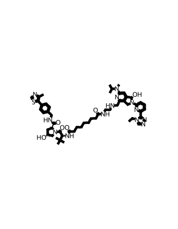 CCn1cnnc1-c1cccc(N2Cc3c(cc(N(C)C(C)C)nc3CNCCNC(=O)CCCCCCCC(=O)N[C@H](C(=O)N3C[C@H](O)C[C@H]3C(=O)NCc3ccc(-c4scnc4C)cc3)C(C)(C)C)C2O)n1